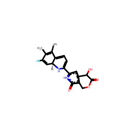 CCCC1=C(C)C(F)=C[C@@H]2NC(c3cc4c(c(=O)[nH]3)COC(=O)C4O)=CC=C12